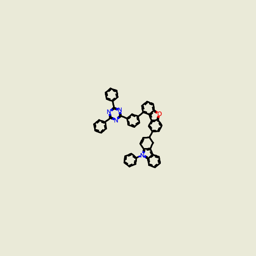 C1=CC(c2ccc3oc4cccc(-c5cccc(-c6nc(-c7ccccc7)nc(-c7ccccc7)n6)c5)c4c3c2)Cc2c1n(-c1ccccc1)c1ccccc21